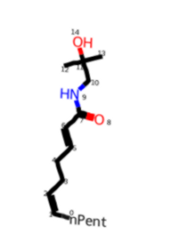 CCCCC/C=C\CC/C=C/C(=O)NCC(C)(C)O